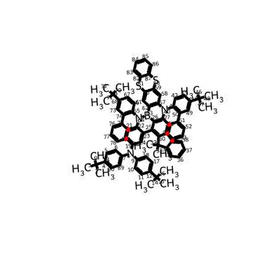 CC(C)(C)c1ccc(N(c2ccc(C(C)(C)C)cc2)c2ccc3c(c2)-c2c4c(cc5c2C(C)(C)c2ccccc2-5)N(c2ccc(C(C)(C)C)cc2-c2ccccc2)c2cc5c(cc2B4N3c2ccc(C(C)(C)C)cc2-c2ccccc2)Sc2ccccc2S5)cc1